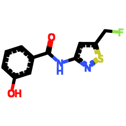 O=C(Nc1cc(CF)sn1)c1cccc(O)c1